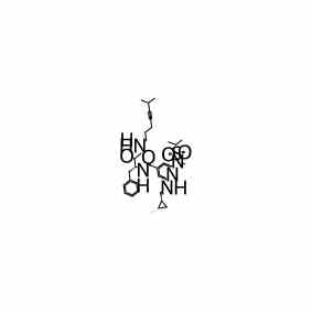 CC(C)C#CCCCNC[C@@H](O)[C@H](Cc1ccccc1)NC(=O)c1cc(NC[C@H]2C[C@@H]2C)nc(N(C)S(=O)(=O)C(C)C)c1